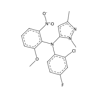 COc1cccc([N+](=O)[O-])c1N(c1ccc(F)cc1Cl)c1cc(C)nn1C